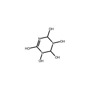 OC1=NC(O)N(O)C(O)N1O